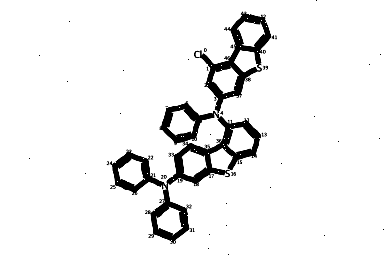 Clc1cc(N(c2ccccc2)c2cccc3sc4cc(N(c5ccccc5)c5ccccc5)ccc4c23)cc2sc3ccccc3c12